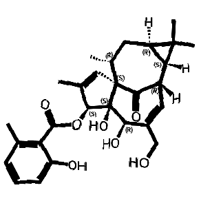 CC1=C[C@]23C(=O)[C@@H](C=C(CO)[C@@H](O)[C@]2(O)[C@H]1OC(=O)c1c(C)cccc1O)[C@@H]1[C@@H](C[C@H]3C)C1(C)C